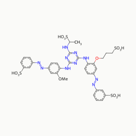 COc1cc(N=Nc2cccc(S(=O)(=O)O)c2)ccc1Nc1nc(Nc2ccc(N=Nc3cccc(S(=O)(=O)O)c3)cc2OCCCS(=O)(=O)O)nc(NC(C)S(=O)(=O)O)n1